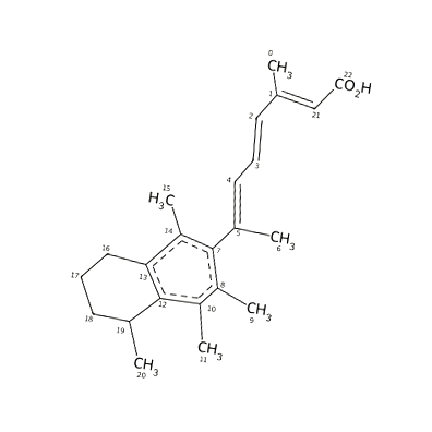 CC(C=CC=C(C)c1c(C)c(C)c2c(c1C)CCCC2C)=CC(=O)O